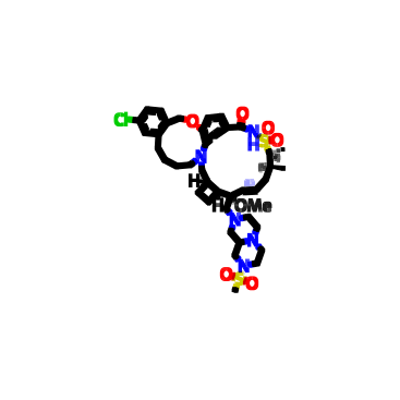 CO[C@]1(CN2CCN3CCN(S(C)(=O)=O)CC3C2)/C=C/C[C@H](C)[C@@H](C)S(=O)(=O)NC(=O)c2ccc3c(c2)N(CCCCc2cc(Cl)ccc2CO3)C[C@@H]2CC[C@H]21